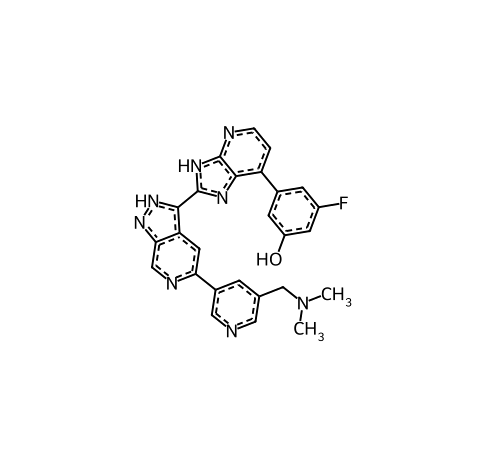 CN(C)Cc1cncc(-c2cc3c(-c4nc5c(-c6cc(O)cc(F)c6)ccnc5[nH]4)[nH]nc3cn2)c1